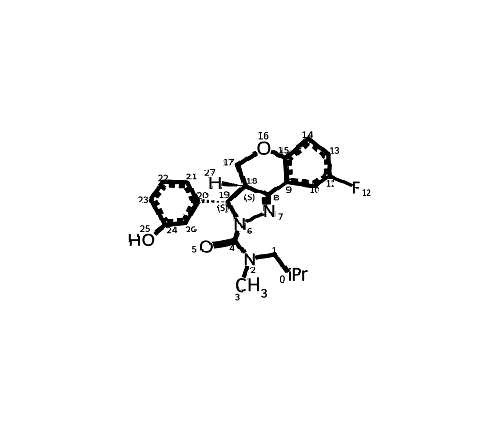 CC(C)CN(C)C(=O)N1N=C2c3cc(F)ccc3OC[C@H]2[C@H]1c1cccc(O)c1